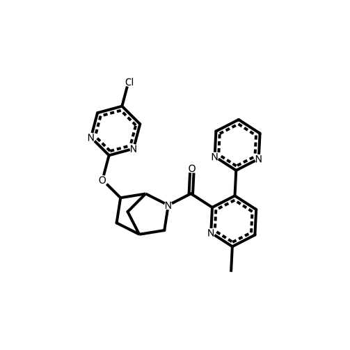 Cc1ccc(-c2ncccn2)c(C(=O)N2CC3CC(Oc4ncc(Cl)cn4)C2C3)n1